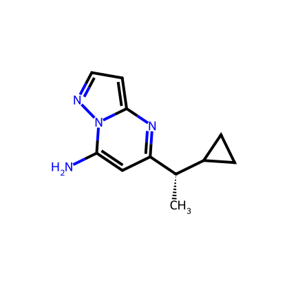 C[C@H](c1cc(N)n2nccc2n1)C1CC1